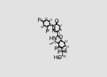 C[C@@H](NC(=O)c1ccc(=O)n(-c2ccc(F)cc2F)n1)c1cccc(C(F)(F)CO)c1F